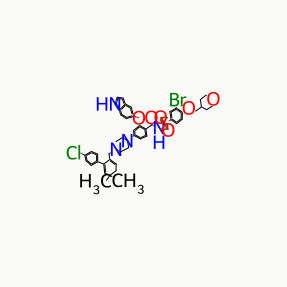 CC1(C)C=C(c2ccc(Cl)cc2)C(CN2CCN(c3ccc(C(=O)NS(=O)(=O)c4ccc(OCC5CCOCC5)c(Br)c4)c(Oc4ccc5[nH]ccc5c4)c3)CC2)=CC1